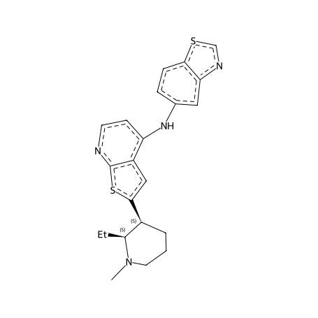 CC[C@H]1[C@@H](c2cc3c(Nc4ccc5scnc5c4)ccnc3s2)CCCN1C